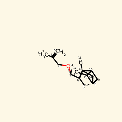 C=C(C)COCC1C[C@]23CC(C2C)[C@@H]1C3